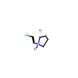 CC[N+]1(C=CCl)CCCC1.[Br-]